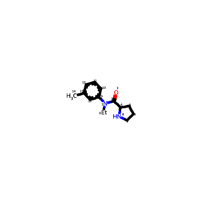 CCN(C(=O)C1CCCN1)c1cccc(C)c1